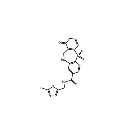 O=C1CC=CC2=C1CNc1cc(C(=O)NCc3cnc(Cl)s3)ccc1S2(=O)=O